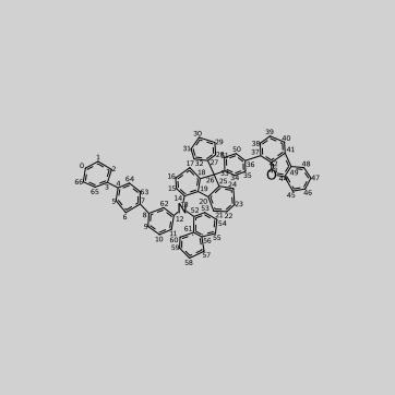 c1ccc(-c2ccc(-c3cccc(N(c4cccc5c4-c4ccccc4C5(c4ccccc4)c4ccc(-c5cccc6c5oc5ccccc56)cc4)c4cccc5ccccc45)c3)cc2)cc1